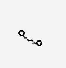 [c]1ccccc1OCCOCc1ccccc1